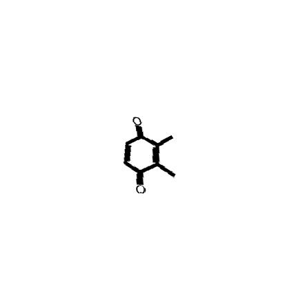 CC1=C(C)C(=O)C=CC1=O